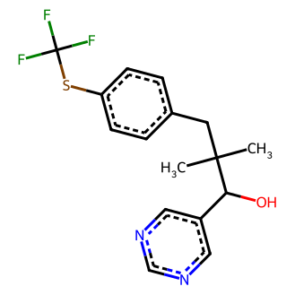 CC(C)(Cc1ccc(SC(F)(F)F)cc1)C(O)c1cncnc1